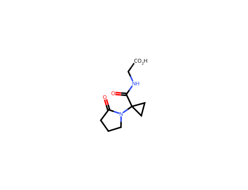 O=C(O)CNC(=O)C1(N2CCCC2=O)CC1